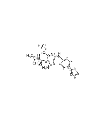 CCOc1nc(Nc2ccc(-c3cnco3)cc2)cc(N)c1C(=O)NC(C)C